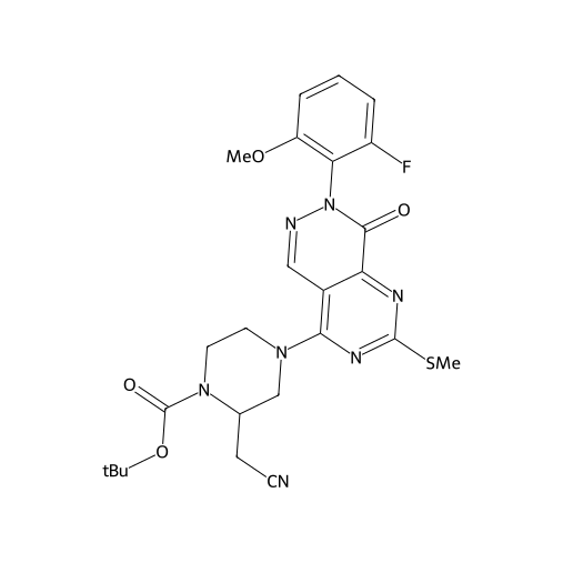 COc1cccc(F)c1-n1ncc2c(N3CCN(C(=O)OC(C)(C)C)C(CC#N)C3)nc(SC)nc2c1=O